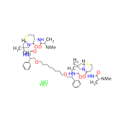 CNC(C)C(=O)N[C@H]1CCS[C@H]2CC(C)(C)[C@@H](C(=O)NC(COCCCCCCCCOCC(NC(=O)[C@H]3N4C(=O)[C@@H](NC(=O)C(C)NC)CCS[C@H]4CC3(C)C)c3ccccc3)c3ccccc3)N2C1=O.Cl.Cl